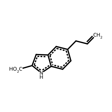 C=CCc1ccc2[nH]c(C(=O)O)cc2c1